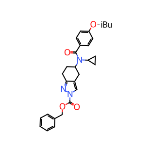 CC[C@@H](C)Oc1ccc(C(=O)N(C2CC2)C2CCc3nn(C(=O)OCc4ccccc4)cc3C2)cc1